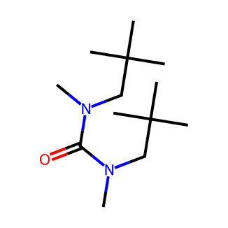 CN(CC(C)(C)C)C(=O)N(C)CC(C)(C)C